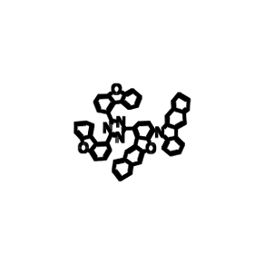 c1ccc2cc3c(cc2c1)oc1c(-n2c4ccccc4c4cc5ccccc5cc42)ccc(-c2nc(-c4cccc5oc6ccccc6c45)nc(-c4cccc5oc6ccccc6c45)n2)c13